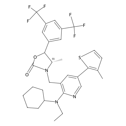 CCN(c1ncc(-c2sccc2C)cc1CN1C(=O)OC(c2cc(C(F)(F)F)cc(C(F)(F)F)c2)[C@@H]1C)C1CCCCC1